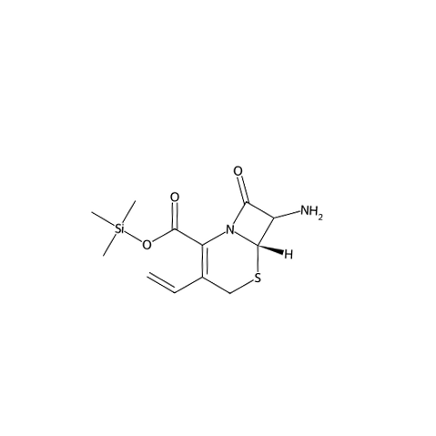 C=CC1=C(C(=O)O[Si](C)(C)C)N2C(=O)C(N)[C@@H]2SC1